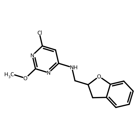 COc1nc(Cl)cc(NCC2Cc3ccccc3O2)n1